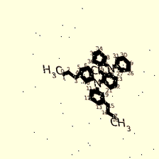 CCCCc1cccc(N(c2cccc(CCCC)c2)c2cccc(N(c3ccccc3)c3ccccc3)c2Cl)c1